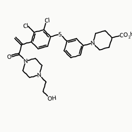 C=C(C(=O)N1CCN(CCO)CC1)c1ccc(Sc2cccc(N3CCC(C(=O)O)CC3)c2)c(Cl)c1Cl